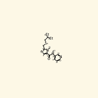 CCC(CC)CSCc1ncc(C(=O)N(C)c2cccnc2)n1C